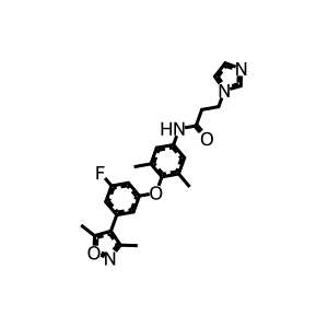 Cc1cc(NC(=O)CCn2ccnc2)cc(C)c1Oc1cc(F)cc(-c2c(C)noc2C)c1